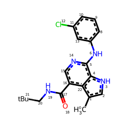 Cc1c[nH]c2c(Nc3cccc(Cl)c3)ncc(C(=O)NCC(C)(C)C)c12